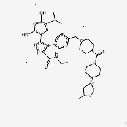 CCNC(=O)c1nnc(-c2cc(C(C)C)c(O)cc2O)n1-c1ccc(CN2CCC(C(=O)N3CCN([C@H]4CCN(C)C4)CC3)CC2)cc1